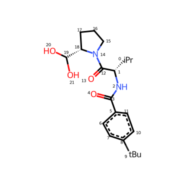 CC(C)[C@H](NC(=O)c1ccc(C(C)(C)C)cc1)C(=O)N1CCC[C@H]1C(O)O